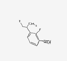 C#Cc1cccc([C](C)CF)c1F